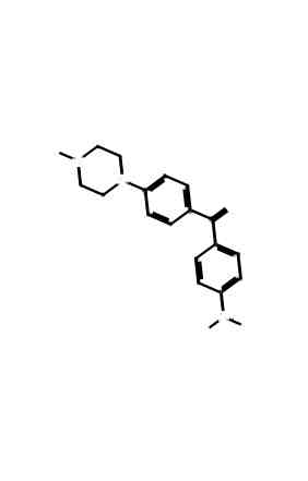 CC(C)N1CCN(c2ccc(C(=O)c3ccc(N(C)C)cc3)cc2)CC1